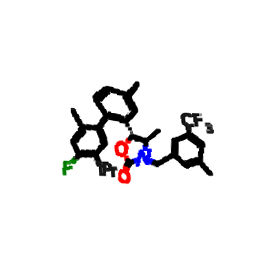 Cc1cc(CN2C(=O)O[C@H](c3cc(C)ccc3-c3cc(C(C)C)c(F)cc3C)[C@H]2C)cc(C(F)(F)F)c1